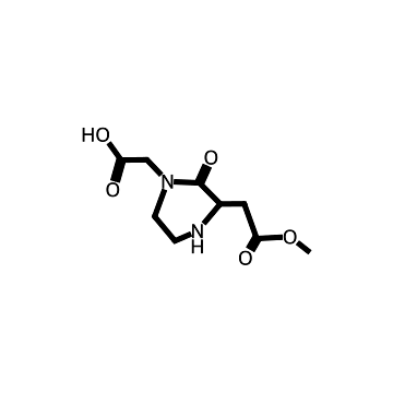 COC(=O)CC1NCCN(CC(=O)O)C1=O